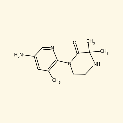 Cc1cc(N)cnc1N1CCNC(C)(C)C1=O